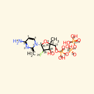 C=C1N=C(N)C=CN1[C@@H]1O[C@](C)(COP(=O)(O)OP(=O)(O)OP(=O)(O)O)[C@@H](O)[C@H]1F